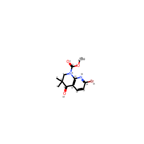 CC(C)(C)OC(=O)N1CC(C)(C)C(=O)c2ccc(Br)nc21